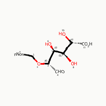 CCCCCCCCCCO[C@@H](C=O)[C@@H](O)[C@H](O)[C@H](O)C(=O)O